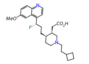 COc1ccc2nccc([C@@H](F)CC[C@@H]3CCN(CCC4CCC4)C[C@@H]3CC(=O)O)c2c1